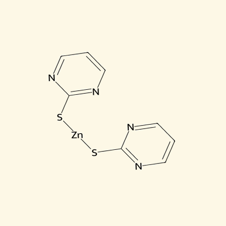 c1cnc([S][Zn][S]c2ncccn2)nc1